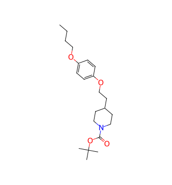 CCCCOc1ccc(OCCC2CCN(C(=O)OC(C)(C)C)CC2)cc1